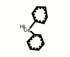 I.c1cc[c]([Ge][c]2ccccc2)cc1